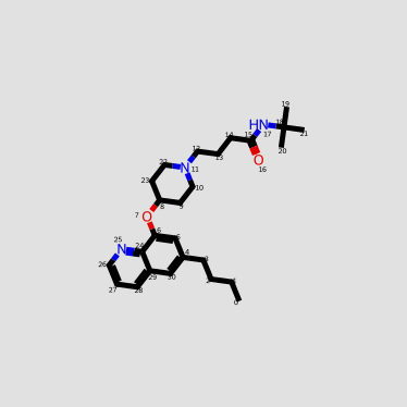 CCCCc1cc(OC2CCN(CCCC(=O)NC(C)(C)C)CC2)c2ncccc2c1